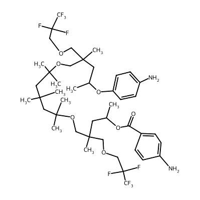 CC(CC(C)(COCC(F)(F)C(F)(F)F)COC(C)(C)CC(C)(C)CC(C)(C)OCC(C)(COCC(F)(F)C(F)(F)F)CC(C)Oc1ccc(N)cc1)OC(=O)c1ccc(N)cc1